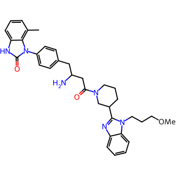 COCCCn1c(C2CCCN(C(=O)CC(N)Cc3ccc(-n4c(=O)[nH]c5cccc(C)c54)cc3)C2)nc2ccccc21